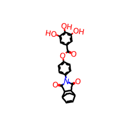 O=C(Oc1ccc(N2C(=O)C3C4C=CC(CC4)C3C2=O)cc1)c1cc(O)c(O)c(O)c1